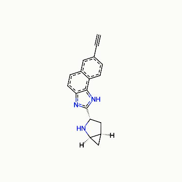 C#Cc1ccc2c(ccc3nc([C@@H]4C[C@H]5C[C@H]5N4)[nH]c32)c1